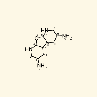 NC1CNC2OC3NCC(N)CC3C2C1